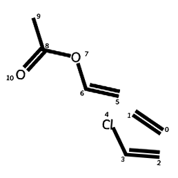 C=C.C=CCl.C=COC(C)=O